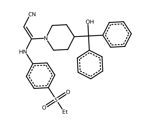 CCS(=O)(=O)c1ccc(N/C(=C/C#N)N2CCC(C(O)(c3ccccc3)c3ccccc3)CC2)cc1